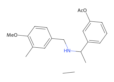 CC.COc1ccc(CNC(C)c2cccc(OC(C)=O)c2)cc1C